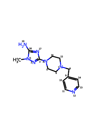 Cn1nc(N2CCN(Cc3ccncc3)CC2)nc1N